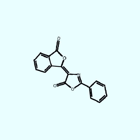 O=C1OC(c2ccccc2)=NC1=C1OC(=O)c2ccccc21